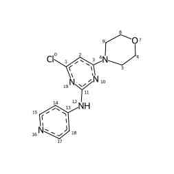 Clc1cc(N2CCOCC2)nc(Nc2ccncc2)n1